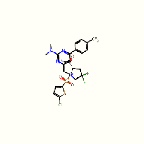 CN(C)c1cc(C[N+]2(S(=O)(=O)c3ccc(Cl)s3)CC(F)(F)C[C@H]2C(N)=O)cc(-c2ccc(C(F)(F)F)cc2)n1